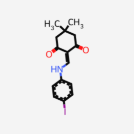 CC1(C)CC(=O)C(=CNc2ccc(I)cc2)C(=O)C1